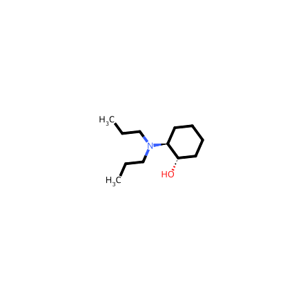 CCCN(CCC)[C@H]1CCCC[C@@H]1O